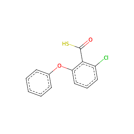 O=C(S)c1c(Cl)cccc1Oc1ccccc1